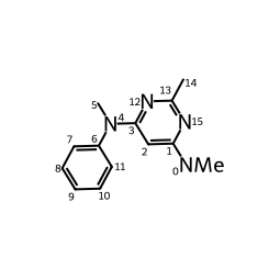 CNc1cc(N(C)c2ccccc2)nc(C)n1